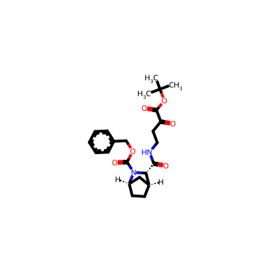 CC(C)(C)OC(=O)C(=O)CCNC(=O)[C@@H]1[C@H]2CC[C@H](C2)N1C(=O)OCc1ccccc1